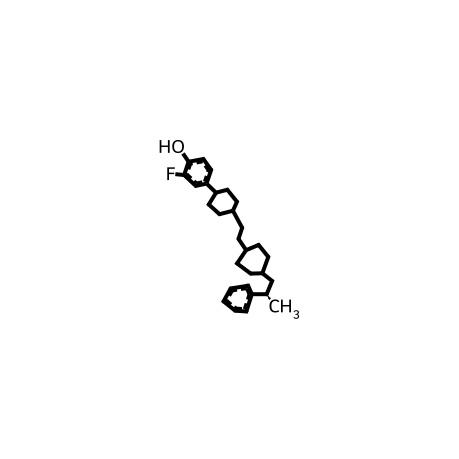 C[C@@H](CC1CCC(CCC2CCC(c3ccc(O)c(F)c3)CC2)CC1)c1ccccc1